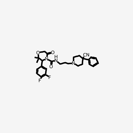 CC1(C)OCC(=O)N(C(=O)NCCCN2CCC(C#N)(c3ccccc3)CC2)C1c1ccc(F)c(F)c1